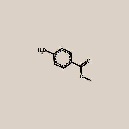 Bc1ccc(C(=O)OC)cc1